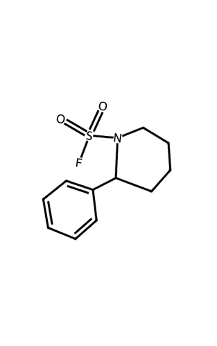 O=S(=O)(F)N1CCCCC1c1ccccc1